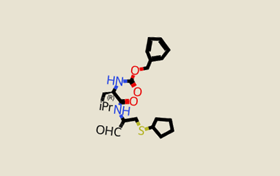 CC(C)C[C@@H](NC(=O)OCc1ccccc1)C(=O)NC(C=O)CSC1CCCC1